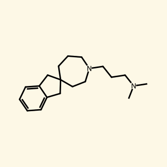 CN(C)CCCN1CCCC2(CC1)Cc1ccccc1C2